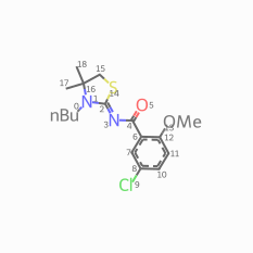 CCCCN1/C(=N/C(=O)c2cc(Cl)ccc2OC)SCC1(C)C